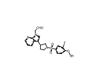 CC(C)Oc1ccc(S(=O)(=O)N2CCC(c3cn(CC=O)c4ncccc34)C2)cc1F